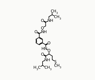 CSCCC(ONC(=O)c1cccc(C(=O)NOCC(=O)NCC(C)C)c1)C(=O)NCC(C)C